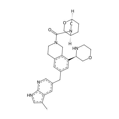 Cc1c[nH]c2ncc(Cc3cc4c(c([C@@H]5COCCN5)c3)CN(C(=O)N3C[C@@H]5CC[C@H]3CO5)CC4)cc12